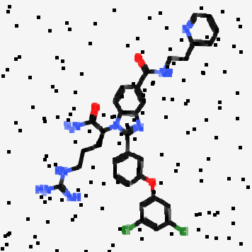 N=C(N)NCCC[C@@H](C(N)=O)n1c(-c2cccc(Oc3cc(Cl)cc(Cl)c3)c2)nc2cc(C(=O)NCCc3ccccn3)ccc21